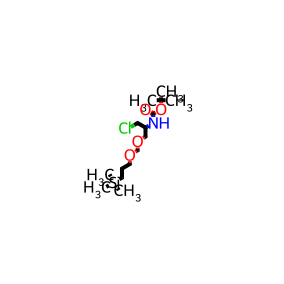 CC(C)(C)OC(=O)NC(CCl)COCOCCC[Si](C)(C)C